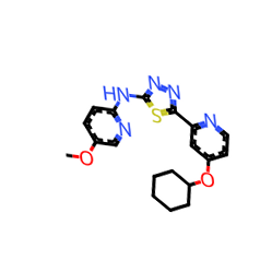 COc1ccc(Nc2nnc(-c3cc(OC4CCCCC4)ccn3)s2)nc1